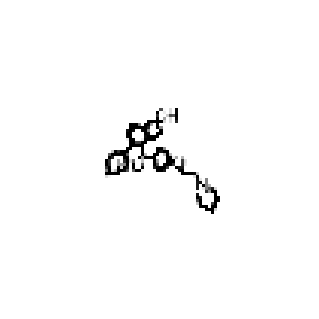 Oc1ccc2c(C(O)c3ccc(OCCN4CCCCC4)cc3)c(C3CCCCC3)ccc2c1